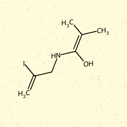 C=C(I)CNC(O)=C(C)C